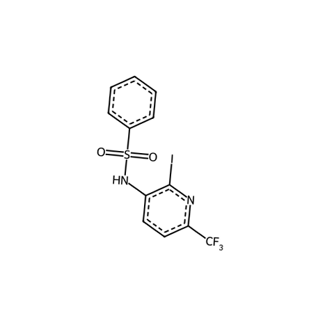 O=S(=O)(Nc1ccc(C(F)(F)F)nc1I)c1ccccc1